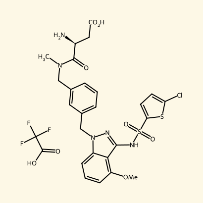 COc1cccc2c1c(NS(=O)(=O)c1ccc(Cl)s1)nn2Cc1cccc(CN(C)C(=O)[C@@H](N)CC(=O)O)c1.O=C(O)C(F)(F)F